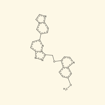 COc1ccc2c(OCc3nnc4ccc(-c5ccc6nccn6c5)nn34)ccnc2c1